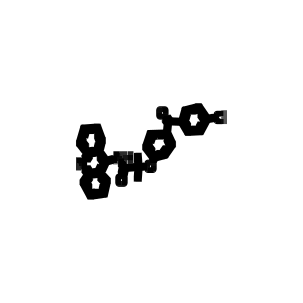 CC(C)(Oc1ccc(C(=O)c2ccc(Cl)cc2)cc1)C(=O)Nc1c2ccccc2nc2ccccc12